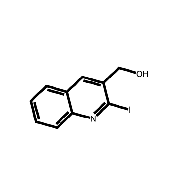 OCc1cc2ccccc2nc1I